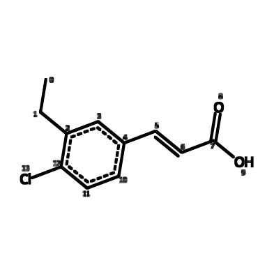 CCc1cc(C=CC(=O)O)ccc1Cl